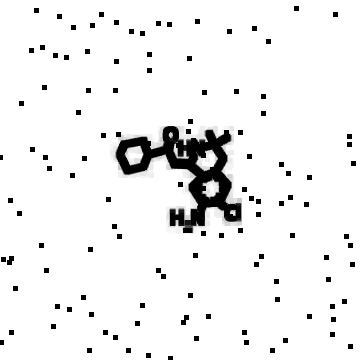 CC1(C)Cc2cc(Cl)c(N)cc2C(=CC(=O)C2CCCCC2)N1